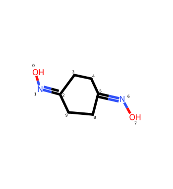 ON=C1CCC(=NO)CC1